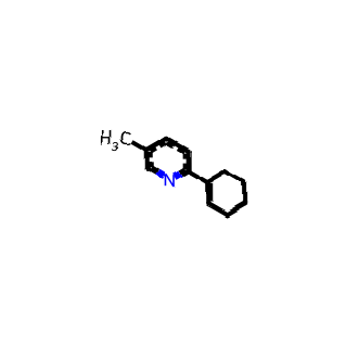 Cc1ccc(C2=CCCCC2)nc1